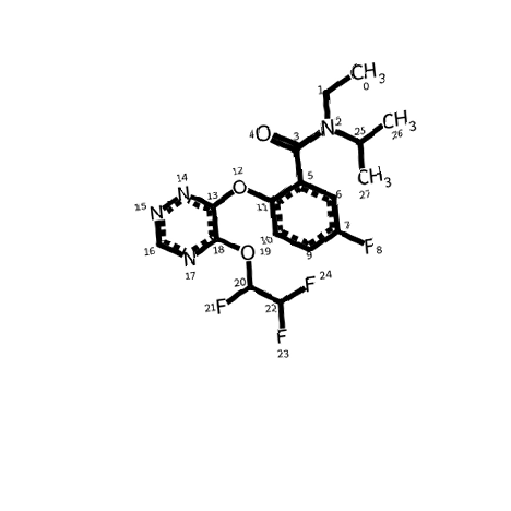 CCN(C(=O)c1cc(F)ccc1Oc1nncnc1OC(F)C(F)F)C(C)C